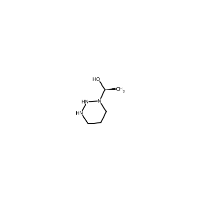 C[C@H](O)N1CCCNN1